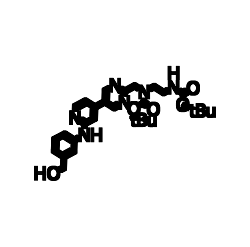 CC(C)(C)OC(=O)NCCN(Cc1ncc(-c2ccnc(Nc3cccc(CO)c3)c2)cn1)C(=O)OC(C)(C)C